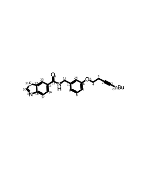 CCCCC#CCCOc1cccc(CNC(=O)c2ccc3ncsc3c2)c1